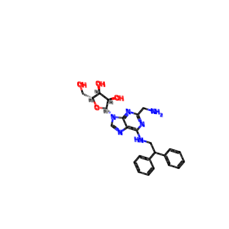 NCc1nc(NCC(c2ccccc2)c2ccccc2)c2ncn([C@@H]3O[C@H](CO)[C@@H](O)[C@H]3O)c2n1